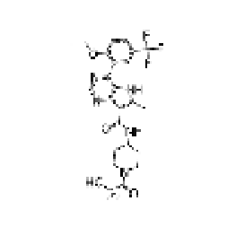 CCOc1ccc(C(F)(F)F)cc1-c1ncnc2c(C(=O)NC3CCN(C(=O)[C@H](C)O)CC3)c(C)[nH]c12